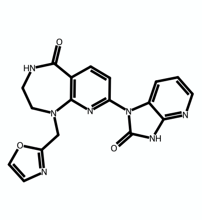 O=C1NCCN(Cc2ncco2)c2nc(-n3c(=O)[nH]c4ncccc43)ccc21